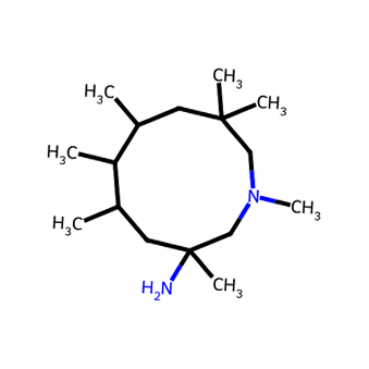 CC1CC(C)(C)CN(C)CC(C)(N)CC(C)C1C